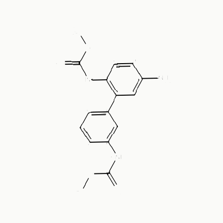 CC(C)(C)OC(=O)Nc1cccc(-c2cc(N)ccc2NC(=O)OC(C)(C)C)c1